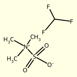 C[N+](C)(C)S(=O)(=O)[O-].FC(F)F